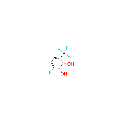 O[C@@H]1C(F)=CC=C(C(F)(F)F)[C@@H]1O